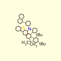 CC(C)(C)c1cc(C(C)(C)C)c2c(c1)C(C)(C)c1cccc(-c3ccccc3N(c3cccc(-c4cccc5ccccc45)c3)c3cccc4c3sc3ccccc34)c1-2